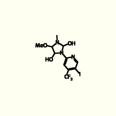 COC1C(O)N(c2cc(C(F)(F)F)c(I)cn2)C(O)N1C